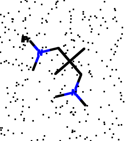 CC(C)N(C)CC(C)(C)CN(C)C